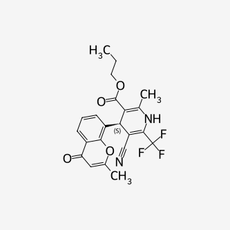 CCCOC(=O)C1=C(C)NC(C(F)(F)F)=C(C#N)[C@H]1c1cccc2c(=O)cc(C)oc12